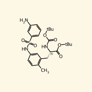 Cc1ccc(NS(=O)(=O)c2cccc(N)c2)cc1C[C@H](NC(=O)OC(C)(C)C)C(=O)OC(C)(C)C